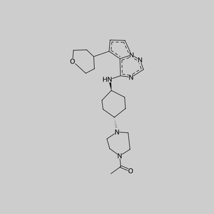 CC(=O)N1CCN([C@H]2CC[C@H](Nc3ncnn4ccc(C5CCOCC5)c34)CC2)CC1